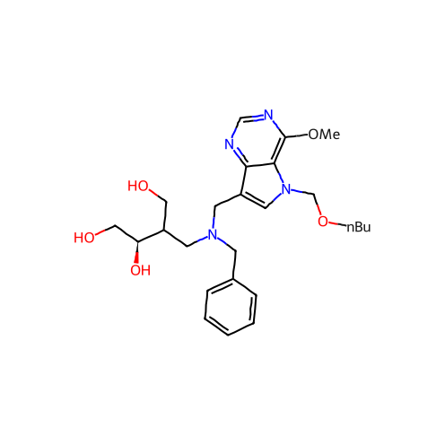 CCCCOCn1cc(CN(Cc2ccccc2)CC(CO)[C@@H](O)CO)c2ncnc(OC)c21